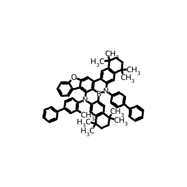 Cc1cc(-c2ccccc2)ccc1N1c2cc3c(cc2B2c4c(cc5oc6ccccc6c5c41)-c1cc4c(cc1N2c1ccc(-c2ccccc2)cc1)C(C)(C)CCC4(C)C)C(C)(C)CCC3(C)C